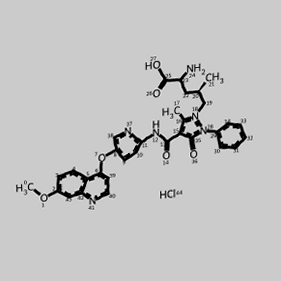 COc1ccc2c(Oc3ccc(NC(=O)c4c(C)n(C[C@H](C)CC(N)C(=O)O)n(-c5ccccc5)c4=O)nc3)ccnc2c1.Cl